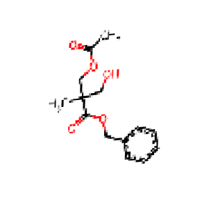 CC(=O)OCC(C)(CO)C(=O)OCc1ccccc1